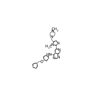 CN1CCN(Cc2cnc(-c3cc4c(Nc5ccc(OCc6ccccc6)cc5)ncnc4cn3)n2C)CC1